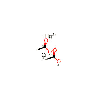 CC(=O)[O-].CC(=O)[O-].[C].[Hg+2]